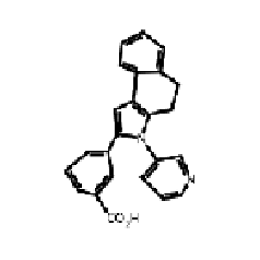 O=C(O)c1cccc(-c2cc3c(n2-c2cccnc2)CCc2ccccc2-3)c1